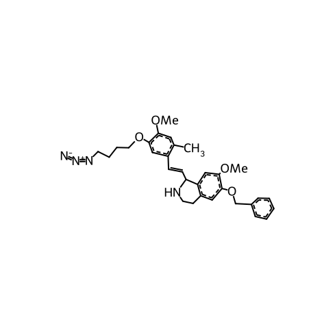 COc1cc(C)c(C=CC2NCCc3cc(OCc4ccccc4)c(OC)cc32)cc1OCCCCN=[N+]=[N-]